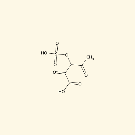 CC(=O)C(OS(=O)(=O)O)C(=O)C(=O)O